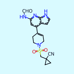 N#CC1(CS(=O)(=O)N2CC=C(c3cc(NC=O)nc4[nH]ccc34)CC2)CC1